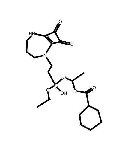 C[CH]O[PH](O)(CCN1CCCNc2c1c(=O)c2=O)OC(C)OC(=O)C1CCCCC1